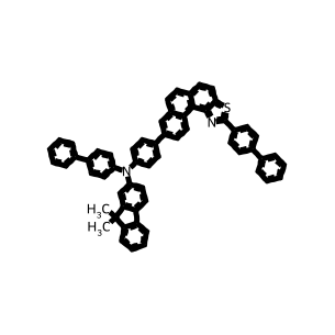 CC1(C)c2ccccc2-c2ccc(N(c3ccc(-c4ccccc4)cc3)c3ccc(-c4ccc5c(ccc6ccc7sc(-c8ccc(-c9ccccc9)cc8)nc7c65)c4)cc3)cc21